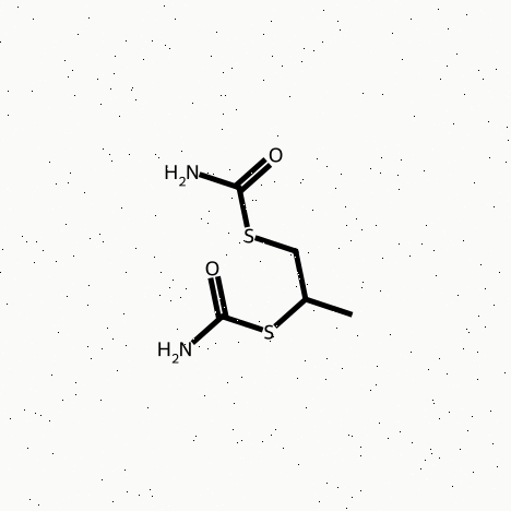 CC(CSC(N)=O)SC(N)=O